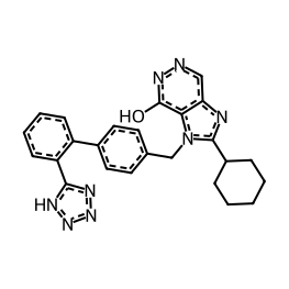 Oc1nncc2nc(C3CCCCC3)n(Cc3ccc(-c4ccccc4-c4nnn[nH]4)cc3)c12